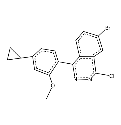 COc1cc(C2CC2)ccc1-c1nnc(Cl)c2cc(Br)ccc12